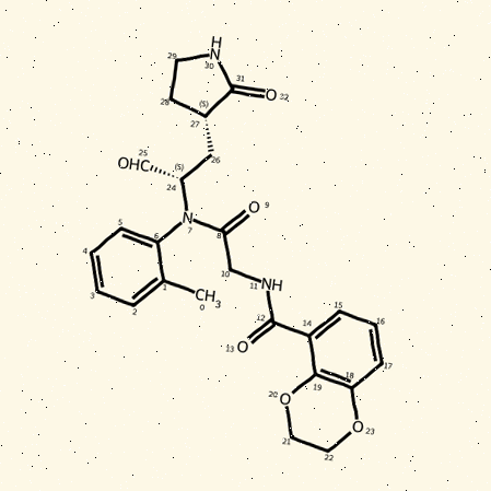 Cc1ccccc1N(C(=O)CNC(=O)c1cccc2c1OCCO2)[C@H](C=O)C[C@@H]1CCNC1=O